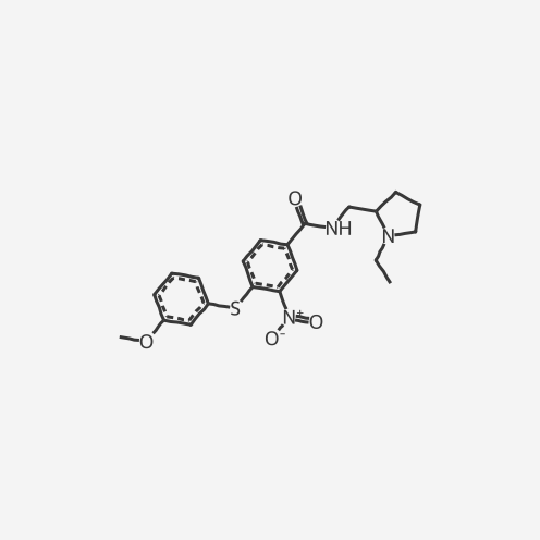 CCN1CCCC1CNC(=O)c1ccc(Sc2cccc(OC)c2)c([N+](=O)[O-])c1